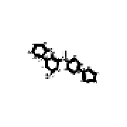 Brc1cc(Nc2ccc(-c3ccccc3)cc2)c2sc3ccccc3c2c1